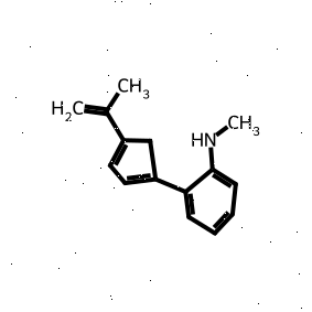 C=C(C)C1=CC=C(c2ccccc2NC)C1